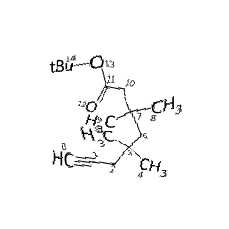 C#CCC(C)(C)CC(C)(C)CC(=O)OC(C)(C)C